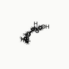 CC(C)c1cc(N2CCN(CCC3CC[C@H](NC(=O)[C@H]4CC[C@H](O)CC4)C3)C[C@@H]2C)nc(C(C)(C)C)n1